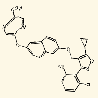 O=C(O)c1cnc(Oc2ccc3cc(OCc4c(-c5c(Cl)cccc5Cl)noc4C4CC4)ccc3c2)cn1